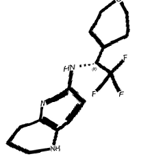 FC(F)(F)[C@H](Nc1ccc2c(n1)CCCN2)C1CCOCC1